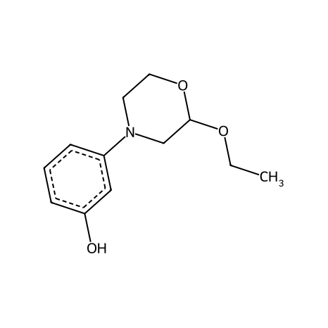 CCOC1CN(c2cccc(O)c2)CCO1